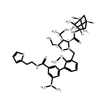 COc1c(CN2O[C@@H](CO)[C@@H]([C@H](C)O)[C@H]2C(=O)N[C@H]2C[C@H]3C[C@@H]([C@@H]2C)C3(C)C)cccc1-c1cc(C(=O)NCCc2cccs2)cc(N(C)C)c1